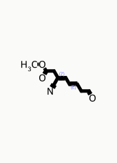 COC(=O)C/C(C#N)=C/C=C/CC=O